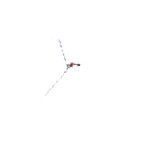 CC/C=C/C/C=C/C/C=C/C/C=C/C/C=C/CCCC(=O)OC[C@H](COP(=O)([O-])OCC[N+](C)(C)C)OC(=O)CCC/C=C/C/C=C/C/C=C/C/C=C/C/C=C/CC